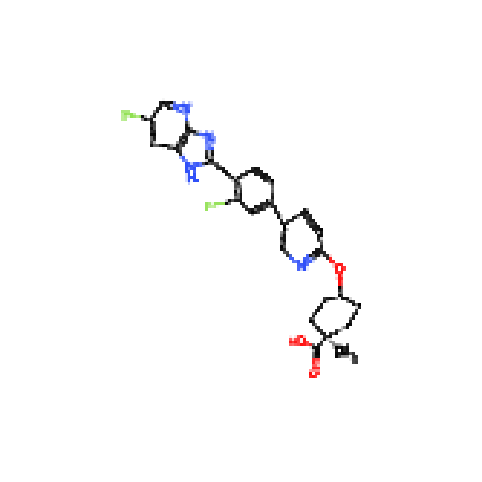 C[C@]1(C(=O)O)CC[C@@H](Oc2ccc(-c3ccc(-c4nc5ncc(F)cc5[nH]4)c(F)c3)cn2)CC1